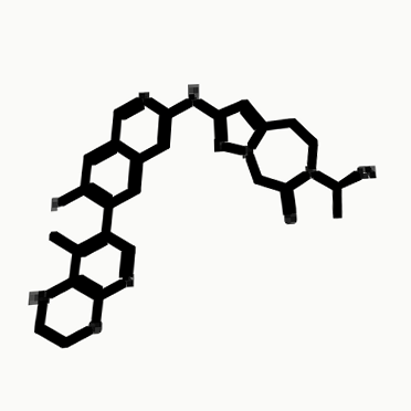 Cc1c(-c2cc3cc(Nc4cc5n(n4)CC(=O)N([C@H](C)C#N)CC5)ncc3cc2F)cnc2c1NCCO2